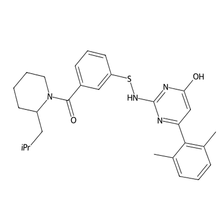 Cc1cccc(C)c1-c1cc(O)nc(NSc2cccc(C(=O)N3CCCCC3CC(C)C)c2)n1